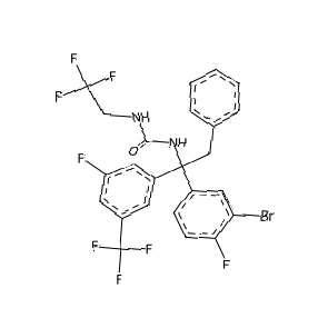 O=C(NCC(F)(F)F)NC(Cc1ccccc1)(c1cc(F)cc(C(F)(F)F)c1)c1ccc(F)c(Br)c1